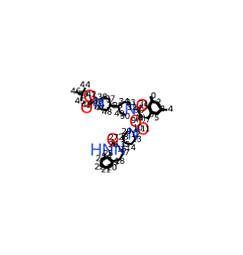 Cc1cc(C)cc(C[C@@H](OC(=O)N2CCC(N3CCc4ccccc4NC3=O)CC2)C(=O)N2CCC(C3CCN(C(=O)OC(C)(C)C)CC3)CC2)c1